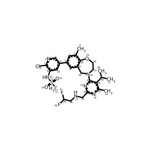 Cc1cc(-c2cnc(Cl)c(NS(C)(=O)=O)c2)cc2c1OCCN(c1nc(CNCC(F)F)nc(C)c1C(C)C)C2